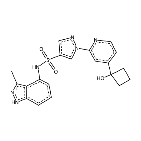 Cc1n[nH]c2cccc(NS(=O)(=O)c3cnn(-c4cc(C5(O)CCC5)ccn4)c3)c12